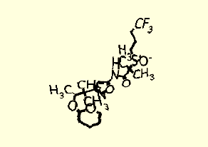 C[C@@H](OC1CCCCO1)C(C)(C)c1cc(NC(=O)C(C)(C)[S+]([O-])CCCC(F)(F)F)on1